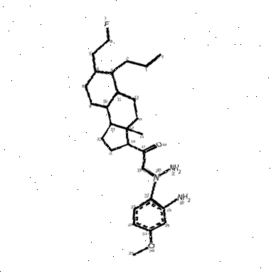 CCCC1C(CCF)CCC2C1CCC1(C)C(C(=O)CN(N)c3ccc(OC)cc3N)CCC21